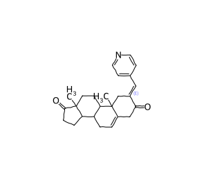 CC12CCC3C(CC=C4CC(=O)/C(=C/c5ccncc5)CC43C)C1CCC2=O